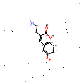 NCCc1cc2cc(O)ccc2oc1=O